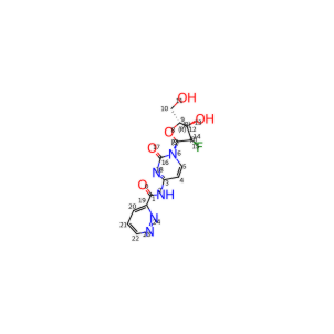 O=C(Nc1ccn([C@H]2O[C@H](CO)[C@@H](O)[C@H]2F)c(=O)n1)c1cccnn1